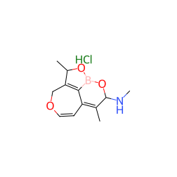 CNC1OB2OC(C)C3=C2C(=C1C)C=COC3.Cl